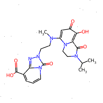 CC(C)N1CCn2c(N(C)CCn3nc4c(C(=O)O)cccn4c3=O)cc(=O)c(O)c2C1=O